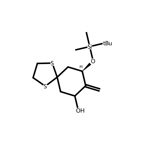 C=C1C(O)CC2(C[C@H]1O[Si](C)(C)C(C)(C)C)SCCS2